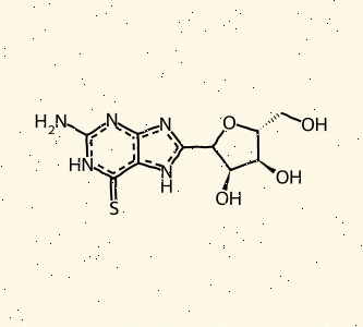 Nc1nc2nc(C3O[C@H](CO)[C@@H](O)[C@H]3O)[nH]c2c(=S)[nH]1